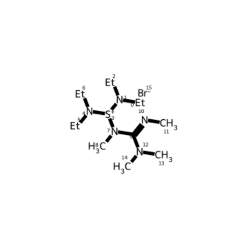 CCN(CC)[S+](N(CC)CC)N(C)C(=NC)N(C)C.[Br-]